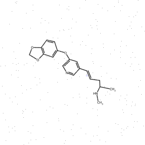 CNC(C)C/C=C/c1cncc(Oc2ccc3c(c2)OCO3)c1